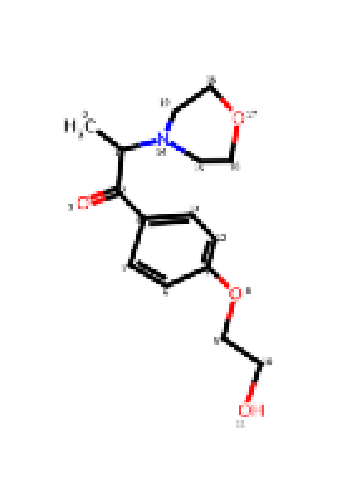 CC(C(=O)c1ccc(OCCO)cc1)N1CCOCC1